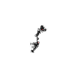 Cc1ncsc1-c1ccc([C@H](C)NC(=O)[C@@H]2C[C@@H](O)CN2C(=O)[C@@H](NC(=O)CCCc2cccc(CCC(=O)N3CCN(c4ncc(-c5cc(NC(=O)c6ccc(F)cc6C(F)(F)F)c(N6C[C@@H](C)N(C)[C@@H](C)C6)cc5F)cn4)CC3)c2)C(C)(C)C)cc1